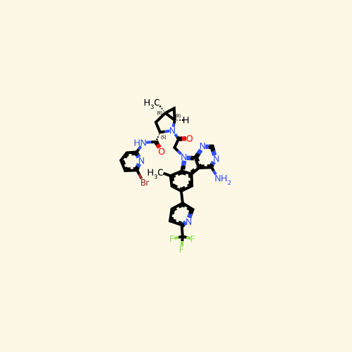 Cc1cc(-c2ccc(C(F)(F)F)nc2)cc2c3c(N)ncnc3n(CC(=O)N3[C@H](C(=O)Nc4cccc(Br)n4)C[C@@]4(C)C[C@@H]34)c12